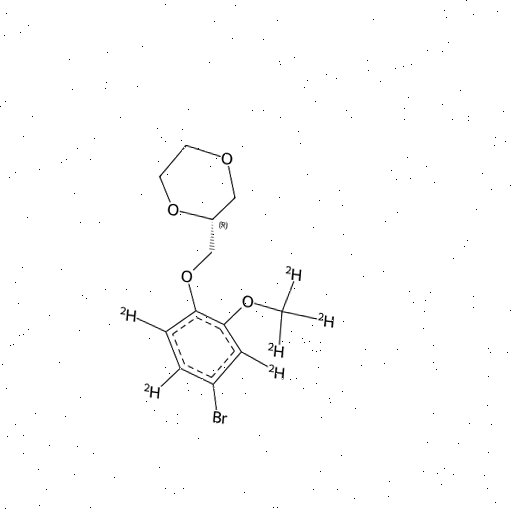 [2H]c1c([2H])c(OC[C@H]2COCCO2)c(OC([2H])([2H])[2H])c([2H])c1Br